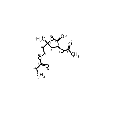 [CH2]C(CCOC(C)=O)(CCOC(=O)CC)OC=O